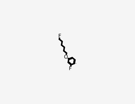 FCCCCCCOc1cc[c]c(F)c1